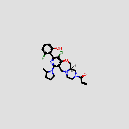 C=CC(=O)N1CCN2Cc3c(N4CCCC4C)nc(-c4c(O)cccc4F)c(Cl)c3OC[C@H]2C1